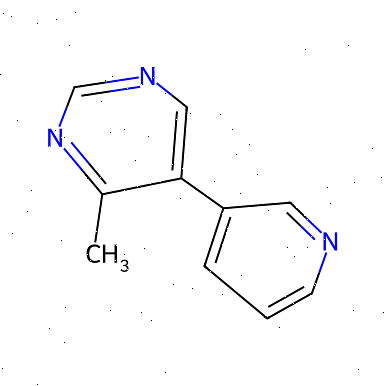 Cc1ncncc1-c1cccnc1